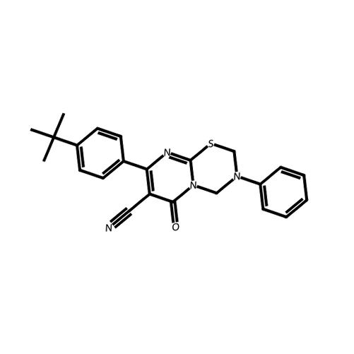 CC(C)(C)c1ccc(-c2nc3n(c(=O)c2C#N)CN(c2ccccc2)CS3)cc1